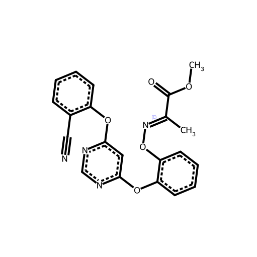 COC(=O)/C(C)=N/Oc1ccccc1Oc1cc(Oc2ccccc2C#N)ncn1